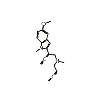 C=C=CCN(C)CC(=C=C)c1cc2cc(OC)ccc2n1C